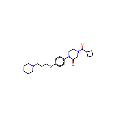 O=C(C1CCC1)N1CCN(c2ccc(OCCCN3CCCCC3)cc2)C(=O)C1